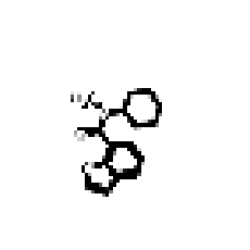 CN(C(=O)c1cccc2ccoc12)C1CCCCC1